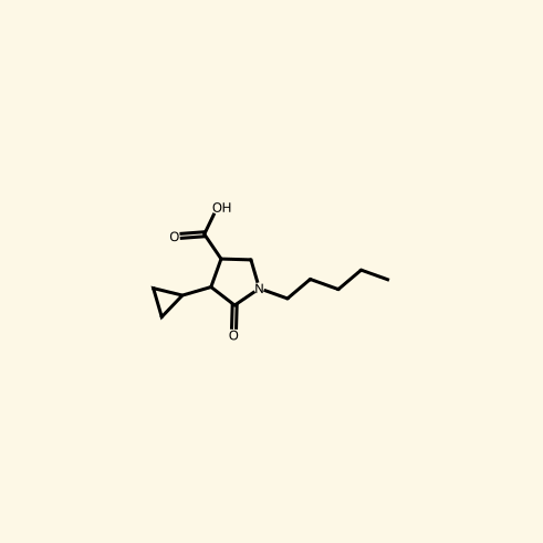 CCCCCN1CC(C(=O)O)C(C2CC2)C1=O